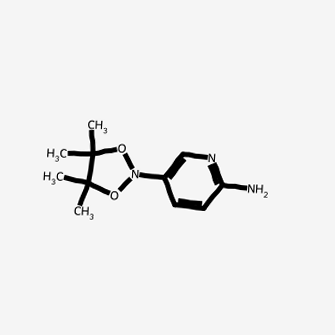 CC1(C)ON(c2ccc(N)nc2)OC1(C)C